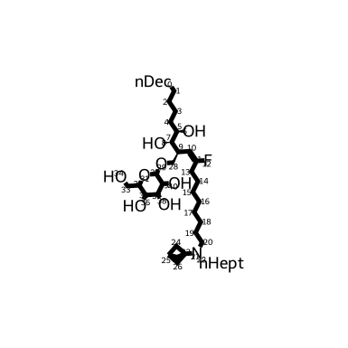 CCCCCCCCCCCCCC[C@@H](O)[C@@H](O)[C@@H](/C=C(/F)CCCCCCCCN(CCCCCCC)C12CC(C1)C2)COC1OC(CO)C(O)C(O)C1O